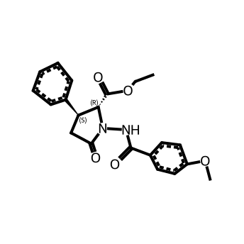 CCOC(=O)[C@H]1[C@H](c2ccccc2)CC(=O)N1NC(=O)c1ccc(OC)cc1